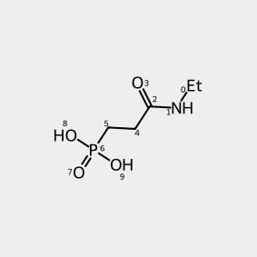 CCNC(=O)CCP(=O)(O)O